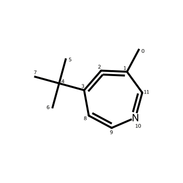 CC1=C=C(C(C)(C)C)C=CN=C1